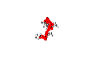 CCCCCCCC1(CCCCCCC)c2ccccc2-c2ccc(-c3ccc4c(c3)C(C)(C)c3cc(-c5ccc(-c6cc7c(c8c6oc6ccccc68)-c6ccc(CC(Cc8ccc9c(c8)C(C)(C)C8C9=c9oc%10ccccc%10c9=C9c%10ccccc%10C(C)(C)C98)c8c(C)cc(C)cc8C)cc6C7(C)C)cc5)ccc3-4)cc21